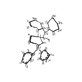 C[C@@H](C1CCCC(P(c2ccccc2)c2ccccc2)C1)C(C1CCCCC1)C1CCCCC1